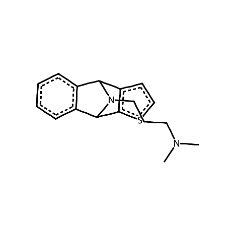 CN(C)CCCN1C2c3ccccc3C1c1sccc12